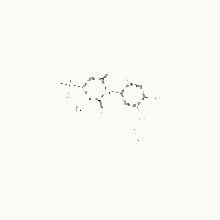 Nn1c(C(F)(F)F)cc(=O)n(-c2cc(OCCF)c(Br)cc2F)c1=O